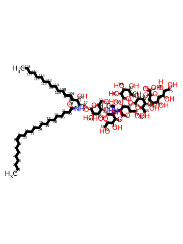 CCCCCCCC/C=C\CCCCCCCCCCCCCC(=O)N[C@@H](CO[C@@H]1OC(CO)[C@@H](O[C@@H]2OC(CO)[C@H](O)[C@H](O[C@@H]3OC(CO)[C@@H](O[C@@H]4OC(CO)[C@H](O)[C@H](O[C@]5(C(=O)O)CC(O)[C@@H](O)C([C@H](O)[C@H](O)CO)O5)C4O)[C@H](O[C@H]4OC(C)[C@@H](O)C(O)[C@@H]4O)C3NC(C)=O)C2O)[C@H](O)C1O)[C@H](O)/C=C/CCCCCCCCCCCCC